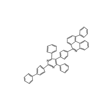 c1ccc(-c2ccc(-c3nc(-c4ccccc4)c(-c4ccc(-c5nc6ccccc6c6c(-c7ccccc7)cccc56)cc4)c(-c4ccccc4)n3)cc2)cc1